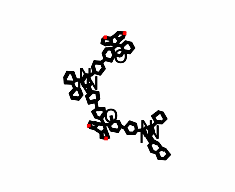 c1ccc(-c2nc(-c3ccc(-c4ccc5c(c4)Oc4cc(-c6ccc(-c7nc(-c8ccc(-c9ccc%10c(c9)Oc9ccccc9C%109c%10ccccc%10-c%10ccccc%109)cc8)nc(-c8ccccc8-c8ccccc8)n7)cc6)ccc4C54c5ccccc5-c5ccccc54)cc3)nc(-c3ccc4ccccc4c3)n2)cc1